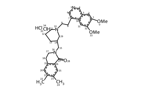 COc1cc2cncc(CCN3CCCC(CN4CCc5cc(C)c(C)cc5C4=O)C3)c2cc1OC.Cl.Cl